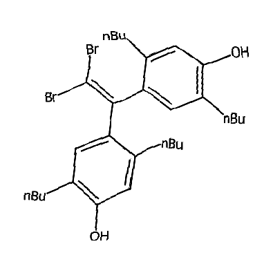 CCCCc1cc(C(=C(Br)Br)c2cc(CCCC)c(O)cc2CCCC)c(CCCC)cc1O